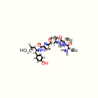 CCCO[C@H](C[C@H](C(C)C)N(CCC)C(=O)[C@@H](NC(=O)[C@@H]([C@@H](C)CC)N(C)C)[C@@H](C)CC)c1nc(C(=O)N[C@@H](Cc2ccc(O)cc2)C[C@H](C)C(=O)O)cs1